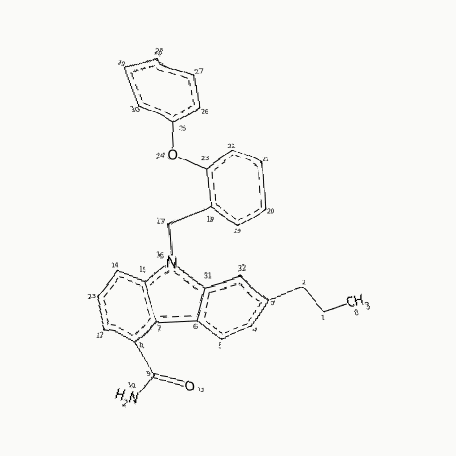 CCCc1c[c]c2c3c(C(N)=O)cccc3n(Cc3ccccc3Oc3ccccc3)c2c1